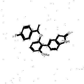 COc1cccc(OC(C)c2ccc(F)cc2)c1-c1ccc2c(c1)CC(=O)N2